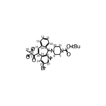 CC(C)(C)OC(=O)N1CCN(C2c3ccccc3C=C(C(=O)S(C)(=O)=O)c3cc(Br)cnc32)CC1